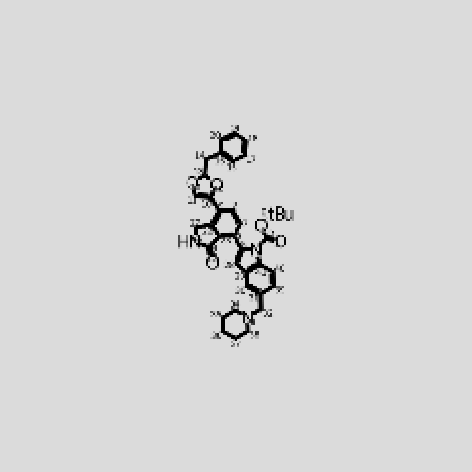 CC(C)(C)OC(=O)n1c(-c2ccc(C3=COC(Cc4ccccc4)O3)c3c2C(=O)NC3)cc2cc(CN3CCCCC3)ccc21